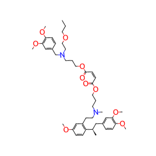 CCCOCCN(CCCOC(=O)/C=C\C(=O)OCCCN(C)CCc1cc(OC)ccc1[C@H](C)Cc1ccc(OC)c(OC)c1)Cc1ccc(OC)c(OC)c1